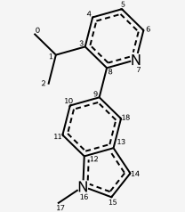 CC(C)c1cccnc1-c1ccc2c(ccn2C)c1